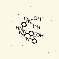 O=C(c1ccc(Nc2ncc3c(n2)-c2ccc(CO)cc2C(c2ccccc2F)=NC3)cc1)N(CCO)CCO